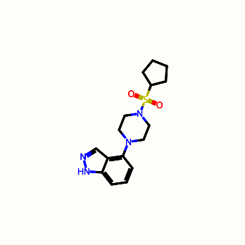 O=S(=O)(C1CCCC1)N1CCN(c2cccc3[nH]ncc23)CC1